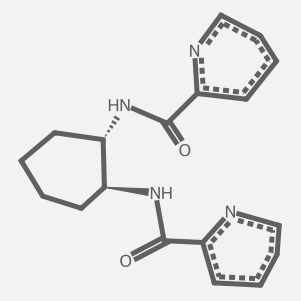 O=C(N[C@H]1CCCC[C@@H]1NC(=O)c1ccccn1)c1ccccn1